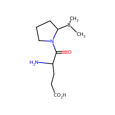 CB(C)C1CCCN1C(=O)C(N)CCC(=O)O